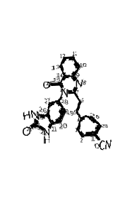 N#Cc1ccc(/C=C/c2nc3ccccc3c(=O)n2-c2ccc3[nH]c(=O)[nH]c3c2)cc1